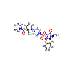 CN1C(=O)N(OC(=O)N2CCN(c3cccc(C(=O)N4CCCCC4)c3Cl)CC2)C(=O)C1Cc1ccccc1